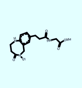 CCN1Cc2cc(CCC(=O)NCC(=O)OC)ccc2NCCC1=O